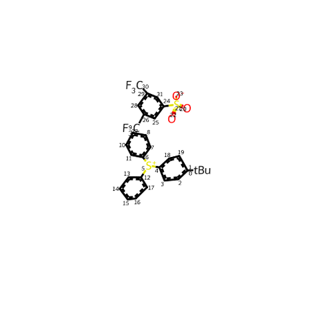 CC(C)(C)c1ccc([S+](c2ccccc2)c2ccccc2)cc1.O=S(=O)([O-])c1cc(C(F)(F)F)cc(C(F)(F)F)c1